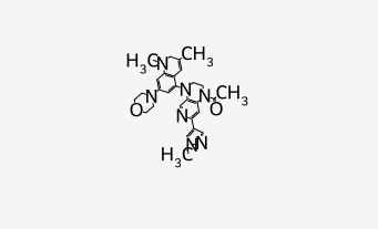 CC(=O)N1CCN(c2cc(N3CCOCC3)cc3c2C=C(C)CN3C)c2cnc(-c3cnn(C)c3)cc21